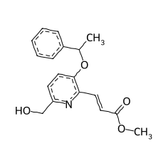 COC(=O)C=Cc1nc(CO)ccc1OC(C)c1ccccc1